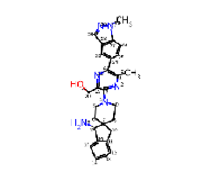 Cc1nc(N2CCC3(CC2)Cc2ccccc2[C@H]3N)c(CO)nc1-c1ccc2c(cnn2C)c1